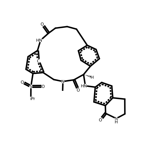 CC(C)S(=O)(=O)c1ccc2cc1CN(C)C(=O)[C@H](Nc1ccc3c(c1)C(=O)NCC3)c1ccc(cc1)CCCC(=O)N2